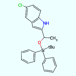 CC(O[Si](c1ccccc1)(c1ccccc1)C(C)(C)C)c1cc2cc(Cl)ccc2[nH]1